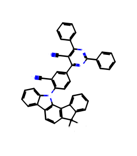 CC1(C)c2ccccc2-c2c1ccc1c3ccccc3n(-c3ccc(-c4nc(-c5ccccc5)nc(-c5ccccc5)c4C#N)cc3C#N)c21